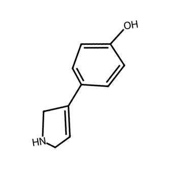 Oc1ccc(C2=CCNC2)cc1